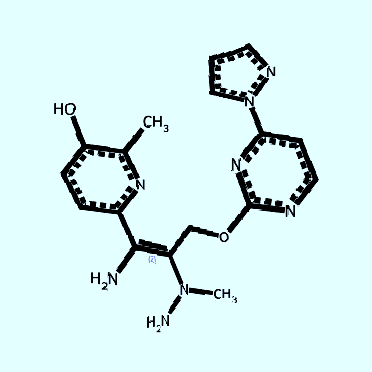 Cc1nc(/C(N)=C(\COc2nccc(-n3cccn3)n2)N(C)N)ccc1O